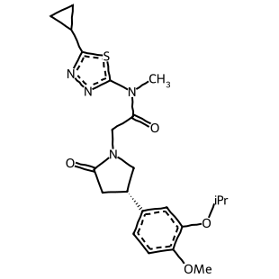 COc1ccc([C@@H]2CC(=O)N(CC(=O)N(C)c3nnc(C4CC4)s3)C2)cc1OC(C)C